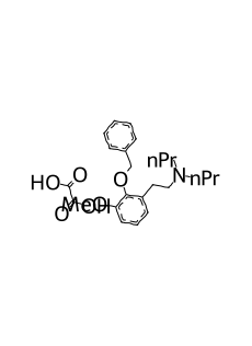 CCCN(CCC)CCc1cccc(OC)c1OCc1ccccc1.O=C(O)C(=O)O